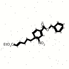 CCOC(=O)/C=C/CCCc1ccc(C(=O)OCc2ccccc2)cc1[N+](=O)[O-]